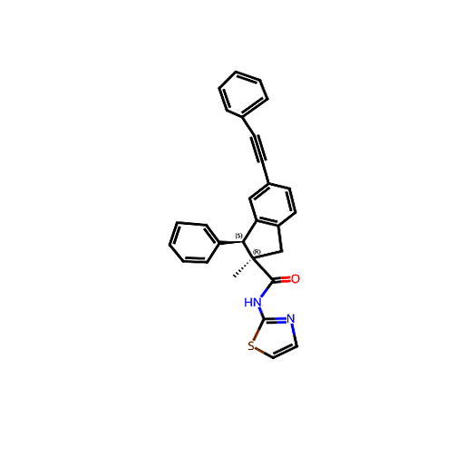 C[C@@]1(C(=O)Nc2nccs2)Cc2ccc(C#Cc3ccccc3)cc2[C@@H]1c1ccccc1